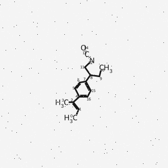 CC=C(C)c1ccc(C(CC)CN=C=O)cc1